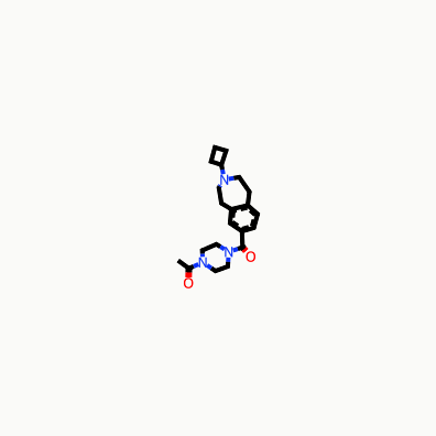 CC(=O)N1CCN(C(=O)c2ccc3c(c2)CCN(C2CCC2)CC3)CC1